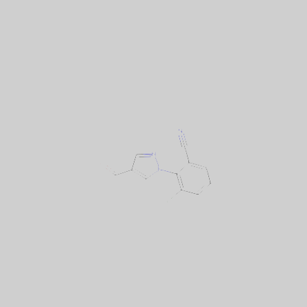 N#Cc1cccc(F)c1-n1cc(C=O)cn1